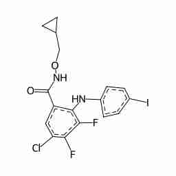 O=C(NOCC1CC1)c1cc(Cl)c(F)c(F)c1Nc1ccc(I)cc1